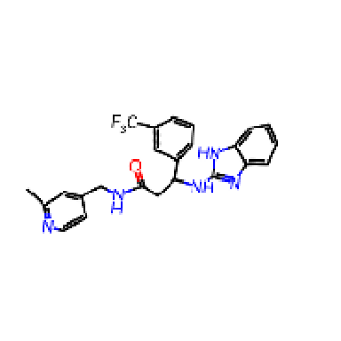 Cc1cc(CNC(=O)CC(Nc2nc3ccccc3[nH]2)c2cccc(C(F)(F)F)c2)ccn1